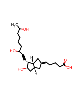 CC(O)CCCCC(O)C#C[C@@H]1[C@@H]2CC(=CCCCC(=O)O)C[C@@H]2C[C@H]1O